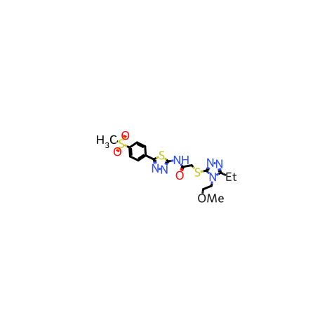 CCc1nnc(SCC(=O)Nc2nnc(-c3ccc(S(C)(=O)=O)cc3)s2)n1CCOC